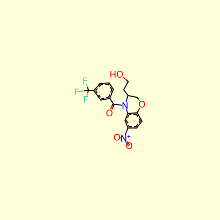 O=C(c1cccc(C(F)(F)F)c1)N1c2cc([N+](=O)[O-])ccc2OCC1CCO